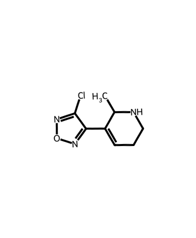 CC1NCCC=C1c1nonc1Cl